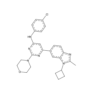 Cc1nc2ccc(-c3cc(Nc4ccc(Cl)cc4)nc(N4CCOCC4)n3)cc2n1C1CCC1